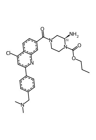 CCCOC(=O)N1CCN(C(=O)c2ccc3c(Cl)cc(-c4ccc(CN(C)C)cc4)nc3c2)C[C@H]1N